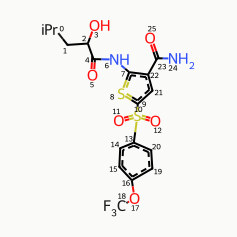 CC(C)CC(O)C(=O)Nc1sc(S(=O)(=O)c2ccc(OC(F)(F)F)cc2)cc1C(N)=O